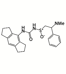 CNC(C[S+]([O-])NC(=O)Nc1c2c(cc3c1CCC3)CCC2)c1ccccc1